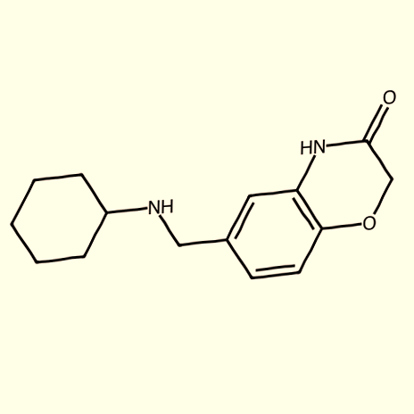 O=C1COc2ccc(CNC3CCCCC3)cc2N1